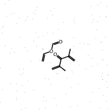 C=C(C)C(=O)C(=C)C.C=COC=O